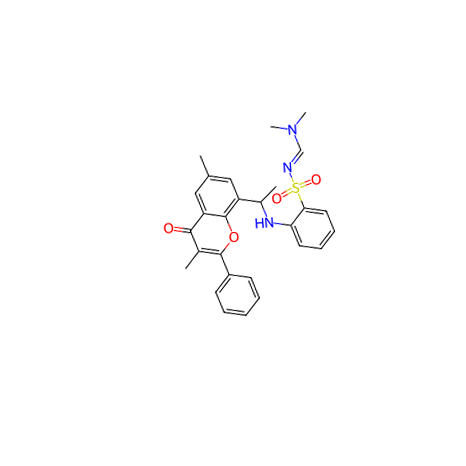 Cc1cc(C(C)Nc2ccccc2S(=O)(=O)N=CN(C)C)c2oc(-c3ccccc3)c(C)c(=O)c2c1